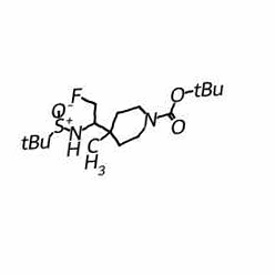 CC(C)(C)OC(=O)N1CCC(C)(C(CF)N[S+]([O-])C(C)(C)C)CC1